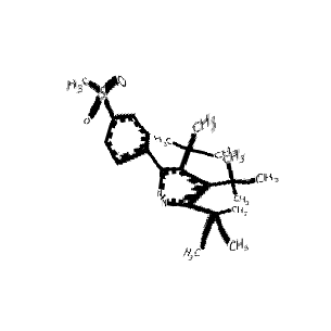 CC(C)(C)c1nnc(-c2ccc(S(C)(=O)=O)cc2)c(C(C)(C)C)c1C(C)(C)C